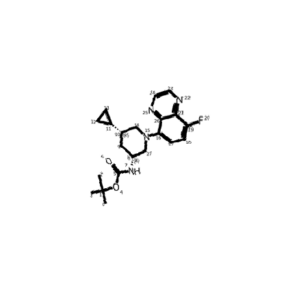 CC(C)(C)OC(=O)N[C@@H]1C[C@H](C2CC2)CN(c2ccc(F)c3nccnc23)C1